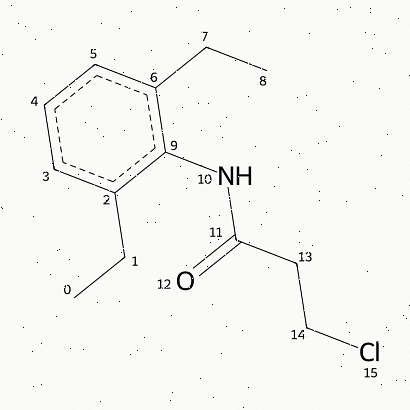 CCc1cccc(CC)c1NC(=O)CCCl